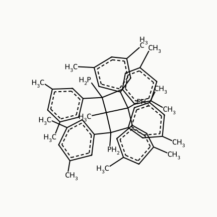 Cc1cc(C)cc(C(P)(c2cc(C)cc(C)c2)C(C)(C(P)(c2cc(C)cc(C)c2)c2cc(C)cc(C)c2)C(P)(c2cc(C)cc(C)c2)c2cc(C)cc(C)c2)c1